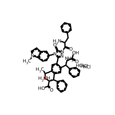 CC(C)c1cc(-c2nn(C(=O)C(N)Cc3ccccc3)c(=O)n2-c2ccc3c(ccn3C)c2)c(C(c2ccccc2)C(N)C(=O)O)cc1C(c1ccccc1)C(N)C(=O)O.Cl.Cl.Cl